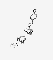 COc1ccc(CSc2nnc(-c3cnc(N)nc3)o2)cc1